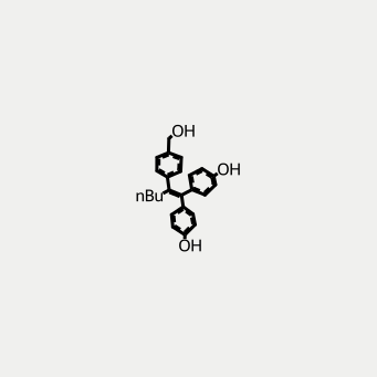 CCCCC(=C(c1ccc(O)cc1)c1ccc(O)cc1)c1ccc(CO)cc1